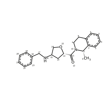 C[C@H]1c2ccccc2CCN1C(=O)[C@@H]1CC(NCc2ccccc2)CO1